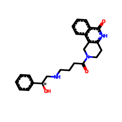 O=C(CCCNC[C@@H](O)c1ccccc1)N1CCc2[nH]c(=O)c3ccccc3c2C1